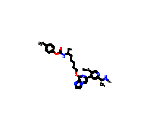 CCN[C@H](C)c1cc(-c2cn3ccnc3c(OCCCCCC(C#N)NC(=O)Oc3ccc([N+](=O)[O-])cc3)n2)c(OC)cn1